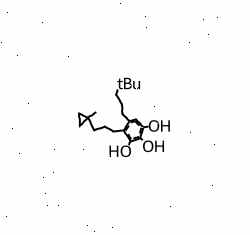 CC(C)(C)CCCc1cc(O)c(O)c(O)c1CCCC1(C)CC1